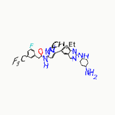 CCc1cc(-c2cc(NC(=O)Cc3cc(F)cc(C(F)(F)F)c3)nn2C)cc2cnc(N[C@H]3CC[C@H](N)CC3)nc12